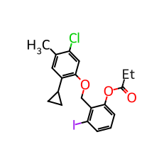 CCC(=O)Oc1cccc(I)c1COc1cc(Cl)c(C)cc1C1CC1